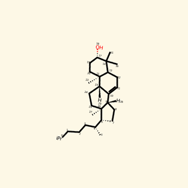 CC(C)CCC[C@@H](C)[C@H]1CC[C@H]2C3=CCC4C(C)(C)[C@@H](O)CC[C@]4(C)[C@H]3CC[C@]12C